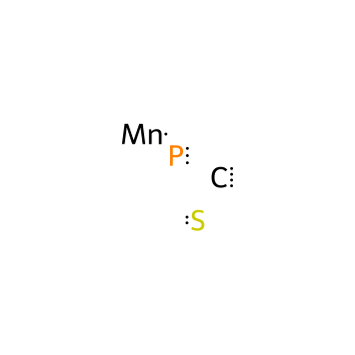 [C].[Mn].[P].[S]